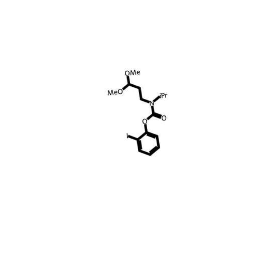 COC(CCN(C(=O)Oc1ccccc1I)C(C)C)OC